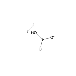 II.[O-][I+2]([O-])O